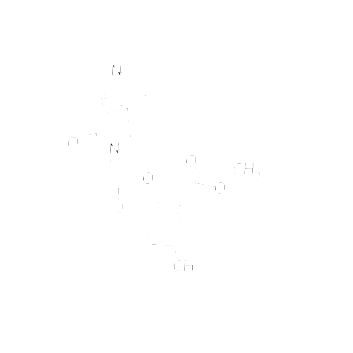 COC(=O)c1cc(C)cc2cc(CN3Cc4ccncc4C3=O)oc12